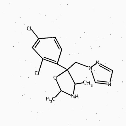 CC1NC(C)C(Cn2cncn2)(c2ccc(Cl)cc2Cl)O1